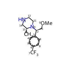 COC[C@@H](c1ccc(C(F)(F)F)cc1)N1CCNC[C@@H]1C